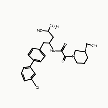 O=C(NC(Cc1ccc(-c2cccc(Cl)c2)cc1)CC(O)C(=O)O)C(=O)N1CCC[C@H](CO)C1